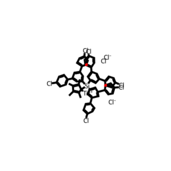 CC1=C(C)[C]([Ti+3])([Si](c2cc(-c3ccc(Cl)cc3)cc(-c3ccc(Cl)cc3)c2)(c2cc(-c3ccc(Cl)cc3)cc(-c3ccc(Cl)cc3)c2)c2cc(-c3ccc(Cl)cc3)cc(-c3ccc(Cl)cc3)c2)C(C)=C1C.[Cl-].[Cl-].[Cl-]